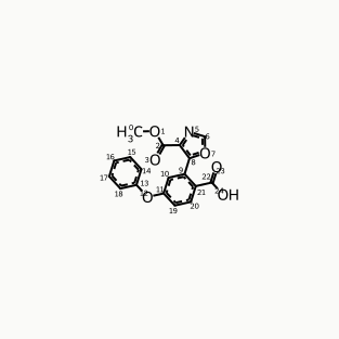 COC(=O)c1ncoc1-c1cc(Oc2ccccc2)ccc1C(=O)O